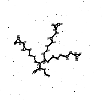 CCCC(=O)N(CCCCOCC1CO1)N(CCCCOCC1CO1)CCCCOCC1CO1